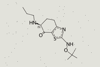 CCCN[C@H]1CCc2nc(NOC(C)(C)C)sc2C1=O